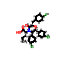 C=CC[C@H](C(=O)O)N1C(=O)[C@H](Cc2ccc(F)cc2)O[C@@H](c2ccc(Cl)cc2)[C@H]1c1ccc(Cl)cc1